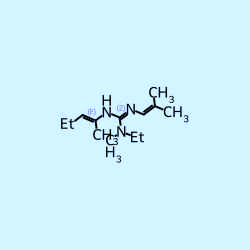 CC/C=C(\C)N/C(=N/C=C(C)C)N(C)CC